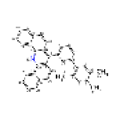 Cc1cc(C)c(-c2cccc(-c3c4ccc5ccccc5c4nc4c3ccc3ccccc34)c2)cc1C